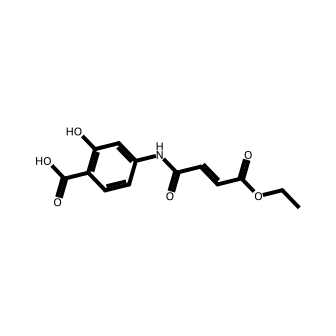 CCOC(=O)/C=C/C(=O)Nc1ccc(C(=O)O)c(O)c1